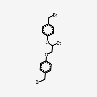 CCC(COc1ccc(CBr)cc1)Oc1ccc(CBr)cc1